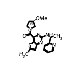 CO[C@H]1CCN(C(=O)c2nc(NC(C)c3ccccn3)nc3cc(C)sc23)C1